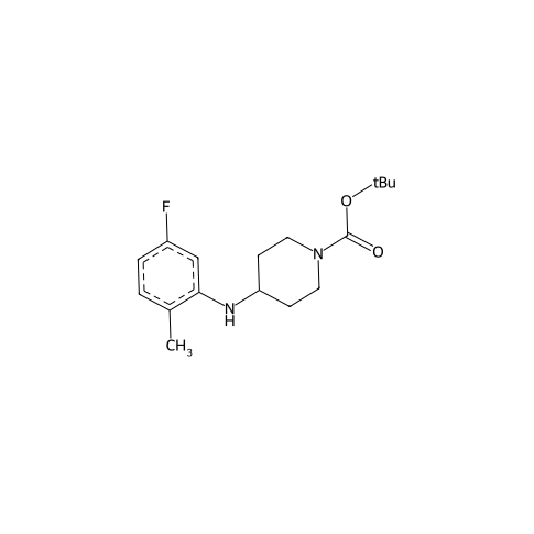 Cc1ccc(F)cc1NC1CCN(C(=O)OC(C)(C)C)CC1